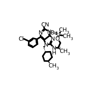 C[C@H](CO[Si](C)(C)C(C)(C)C)Nc1nc2nc(C#N)nc(-c3cccc(Cl)c3)c2n1C[C@H]1CC[C@H](C)CC1